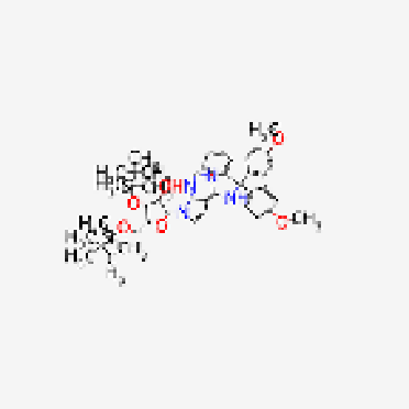 COc1ccc(C(Nc2ncnc3c2ccn3[C@@H]2O[C@H](CO[Si](C)(C)C(C)(C)C)[C@@H](O[Si](C)(C)C(C)(C)C)[C@H]2O)(c2ccccc2)c2ccc(OC)cc2)cc1